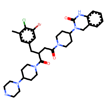 Cc1cc(CC(CC(=O)N2CCC(N3Cc4ccccc4NC3=O)CC2)C(=O)N2CCC(N3CC[N]CC3)CC2)cc(Br)c1Cl